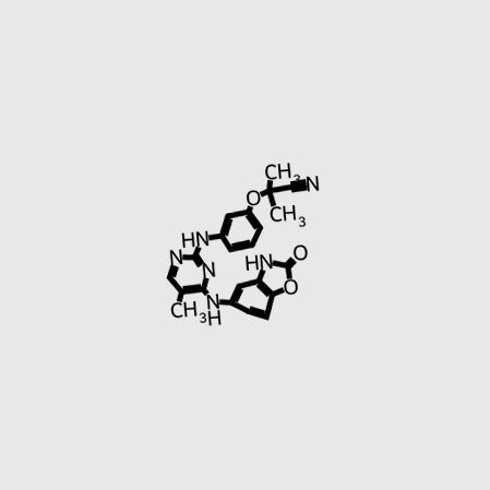 Cc1cnc(Nc2cccc(OC(C)(C)C#N)c2)nc1Nc1ccc2oc(=O)[nH]c2c1